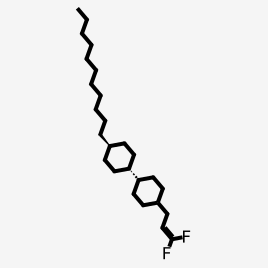 CCCCCCCCCCC[C@H]1CC[C@H](C2CCC(CC=C(F)F)CC2)CC1